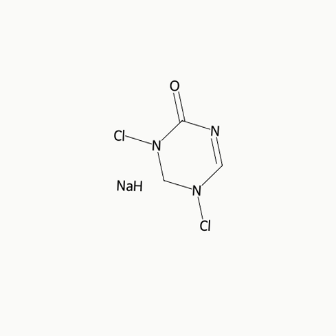 O=C1N=CN(Cl)CN1Cl.[NaH]